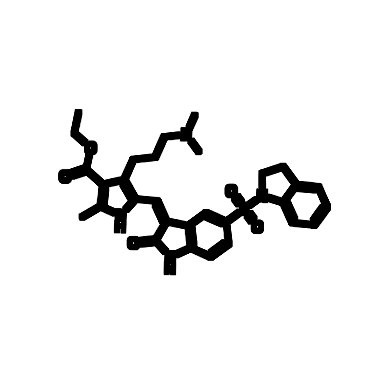 CCOC(=O)c1c(C)[nH]c(/C=C2\C(=O)Nc3ccc(S(=O)(=O)N4CCc5ccccc54)cc32)c1CCCN(C)C